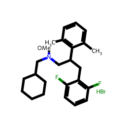 Br.CON(CC1CCCCC1)CC(Cc1c(F)cccc1F)c1c(C)cccc1C